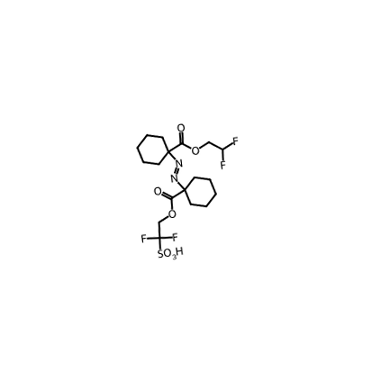 O=C(OCC(F)F)C1(N=NC2(C(=O)OCC(F)(F)S(=O)(=O)O)CCCCC2)CCCCC1